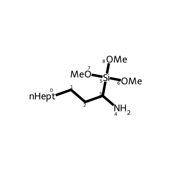 CCCCCCCCCC(N)[Si](OC)(OC)OC